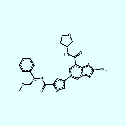 COC[C@H](NC(=O)c1cc(-c2cc(C(=O)N[C@H]3CCOC3)c3nc(N)nn3c2)cs1)c1ccccc1